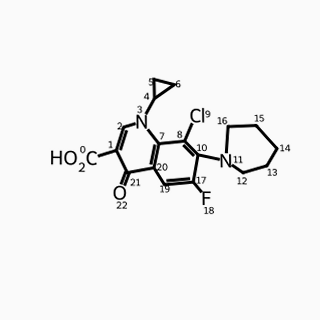 O=C(O)c1cn(C2CC2)c2c(Cl)c(N3CCCCC3)c(F)cc2c1=O